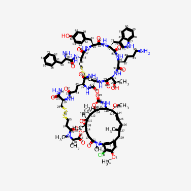 COc1cc2cc(c1Cl)N(C)C(=O)C[C@H](OC(=O)[C@H](C)N(C)C(=O)CCSSC[C@H](NC(=O)CC[C@H](NC(=O)[C@@H]1CSSC[C@H](NC(=O)[C@H](N)Cc3ccccc3)C(=O)N[C@@H](Cc3ccc(O)cc3)C(=O)N[C@H](Cc3c[nH]c4ccccc34)C(=O)N[C@@H](CCCCN)C(=O)N[C@@H]([C@@H](C)O)C(=O)N1)C(N)=O)C(N)=O)[C@]1(C)O[C@H]1[C@H](C)[C@@H]1CC(NC(=O)O1)[C@H](OC)/C=C/C=C(\C)C2